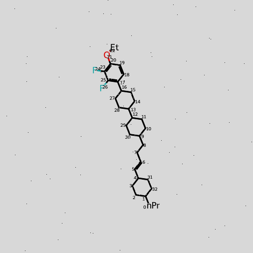 CCCC1CCC(/C=C/CCC2CCC(C3CCC(c4ccc(OCC)c(F)c4F)CC3)CC2)CC1